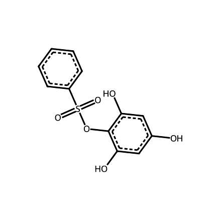 O=S(=O)(Oc1c(O)cc(O)cc1O)c1ccccc1